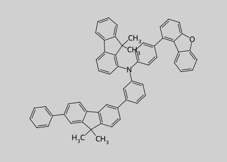 CC1(C)c2ccc(-c3cccc(N(c4ccc(-c5cccc6oc7ccccc7c56)cc4)c4cccc5c4C(C)(C)c4ccccc4-5)c3)cc2-c2ccc(-c3ccccc3)cc21